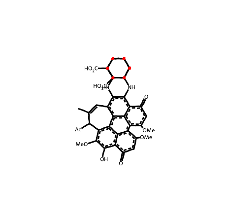 COc1c(O)c2c(=O)cc(OC)c3c4c(OC)cc(=O)c5c(NC6CCCCC6C(=O)O)c(NC6CCCCC6C(=O)O)c6c(c(c1C(C(C)=O)C(C)=C6)c23)c54